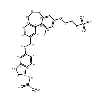 CCS(=O)(=O)CCCOc1cc(C)c2c(c1)CCCc1ccc(COc3ccc4c(c3)OC[C@H]4CC(=O)OC)cc1-2